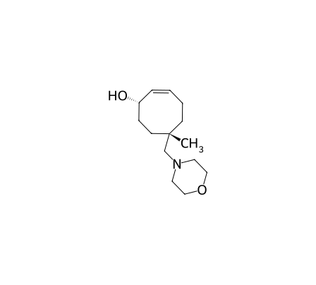 C[C@]1(CN2CCOCC2)CC/C=C\[C@@H](O)CC1